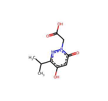 CC(C)c1nn(CC(=O)O)c(=O)cc1O